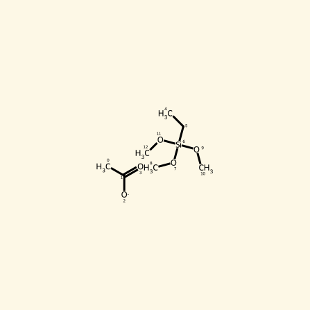 CC([O])=O.CC[Si](OC)(OC)OC